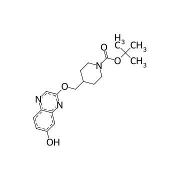 CC(C)(C)OC(=O)N1CCC(COc2cnc3ccc(O)cc3n2)CC1